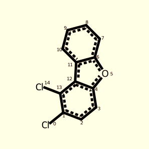 Clc1ccc2oc3ccccc3c2c1Cl